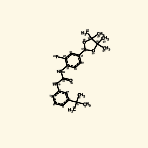 CC(C)(C)c1ccnc(NC(=O)Nc2ccc(B3OC(C)(C)C(C)(C)O3)cc2F)c1